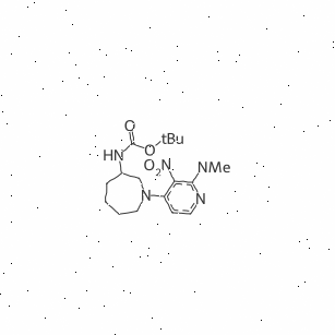 CNc1nccc(N2CCCCC(NC(=O)OC(C)(C)C)C2)c1[N+](=O)[O-]